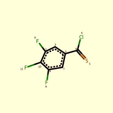 Fc1cc(C(=S)Cl)cc(F)c1F